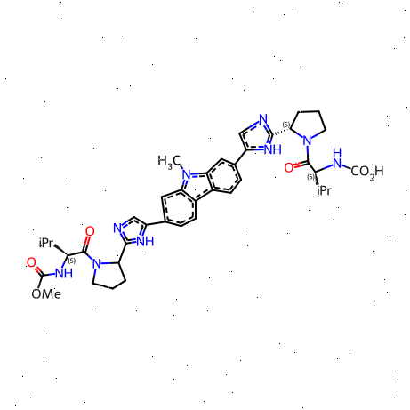 COC(=O)N[C@H](C(=O)N1CCCC1c1ncc(-c2ccc3c4ccc(-c5cnc([C@@H]6CCCN6C(=O)[C@@H](NC(=O)O)C(C)C)[nH]5)cc4n(C)c3c2)[nH]1)C(C)C